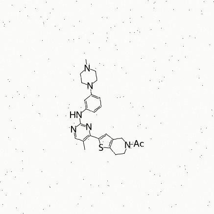 CC(=O)N1CCc2sc(-c3nc(Nc4cccc(N5CCN(C)CC5)c4)ncc3C)cc2C1